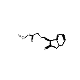 COC(=O)COC=C1C(=O)Cc2ccccc21